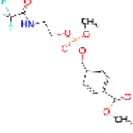 COC(=O)c1ccc(COP(=O)(OC)OCCNC(=O)C(F)(F)F)cc1